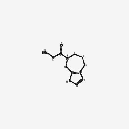 CC(C)(C)OC(=O)N1CCCc2ccsc2C1